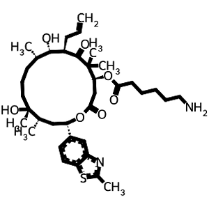 C=CC[C@H]1C(=O)C(C)(C)[C@@H](OC(=O)CCCCCN)CC(=O)O[C@H](c2ccc3sc(C)nc3c2)C[C@H](C)[C@](C)(O)CCC[C@H](C)[C@@H]1O